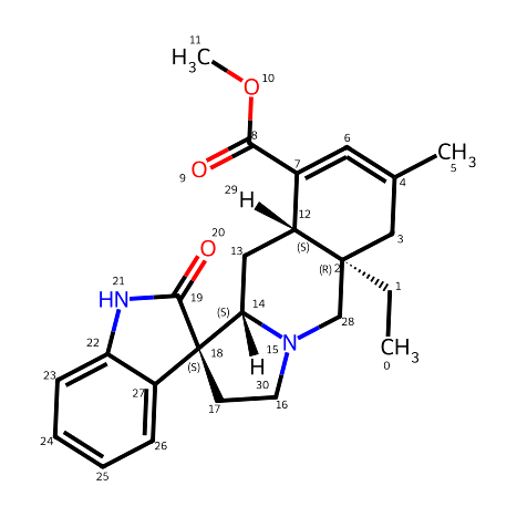 CC[C@@]12CC(C)=C=C(C(=O)OC)[C@H]1C[C@@H]1N(CC[C@@]13C(=O)Nc1ccccc13)C2